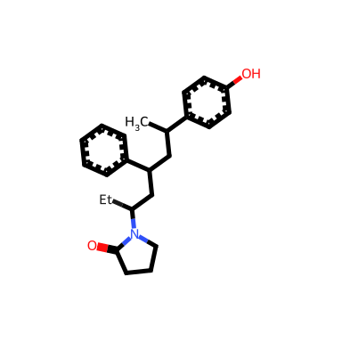 CCC(CC(CC(C)c1ccc(O)cc1)c1ccccc1)N1CCCC1=O